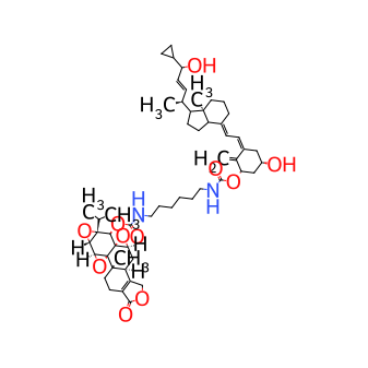 C=C1/C(=C\C=C2/CCC[C@@]3(C)C2CCC3[C@@H](C)/C=C/C(O)C2CC2)C[C@@H](O)C[C@@H]1OC(=O)NCCCCCCNC(=O)O[C@@H]1[C@@]2(C(C)C)O[C@H]2[C@@H]2O[C@]23[C@]12O[C@H]2C[C@H]1C2=C(CC[C@@]13C)C(=O)OC2